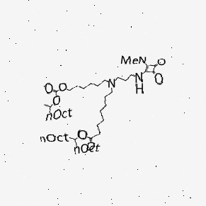 CCCCCCCCC(C)OC(=O)OCCCCCCN(CCCCCCCC(=O)OC(CCCCCCCC)CCCCCCCC)CCCNc1c(NC)c(=O)c1=O